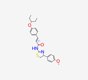 CCC(CC)Oc1ccc(/C=C/C(=O)NC2=NC(c3ccc(OC)cc3)CS2)cc1